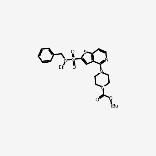 CCN(Cc1ccccc1)S(=O)(=O)c1cc2c(N3CCN(C(=O)OC(C)(C)C)CC3)nccc2s1